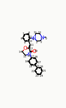 CN1CCN(c2ccccc2C=C2OCCN(c3ccc(-c4ccccc4)cc3)C2=O)CC1